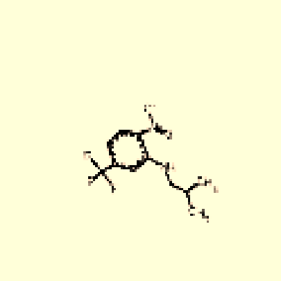 CC(C)CNc1cc(C(F)(F)F)ccc1[N+](=O)[O-]